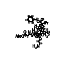 COC(=O)CCSC(C)(C)CC(C)(C(=O)OCCN)C(C)(C)C(C)(C)CC(C)(C(=O)OCc1ccccc1)C(C)C